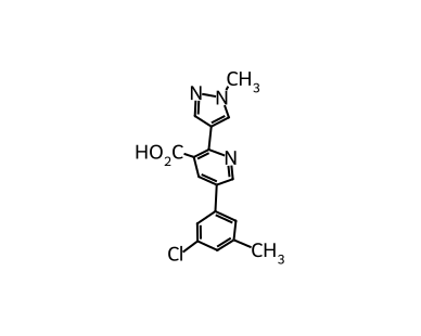 Cc1cc(Cl)cc(-c2cnc(-c3cnn(C)c3)c(C(=O)O)c2)c1